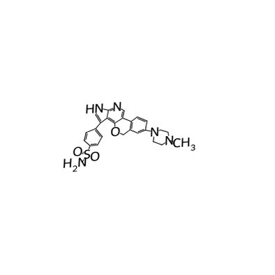 CN1CCN(c2ccc3c(c2)COc2c-3cnc3[nH]cc(-c4ccc(S(N)(=O)=O)cc4)c23)CC1